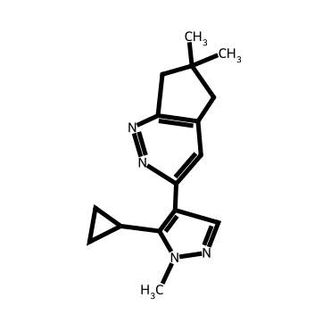 Cn1ncc(-c2cc3c(nn2)CC(C)(C)C3)c1C1CC1